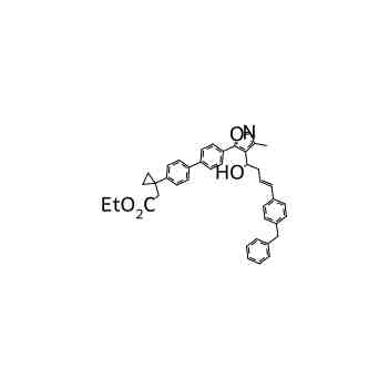 CCOC(=O)CC1(c2ccc(-c3ccc(-c4onc(C)c4C(O)CC=Cc4ccc(Cc5ccccc5)cc4)cc3)cc2)CC1